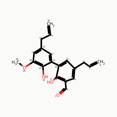 C=CCc1cc(C=O)c(O)c(-c2cc(CC=C)cc(OC)c2O)c1